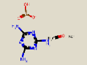 C=O.Nc1nc(N)nc(N)n1.O=S([O-])O.[Na+]